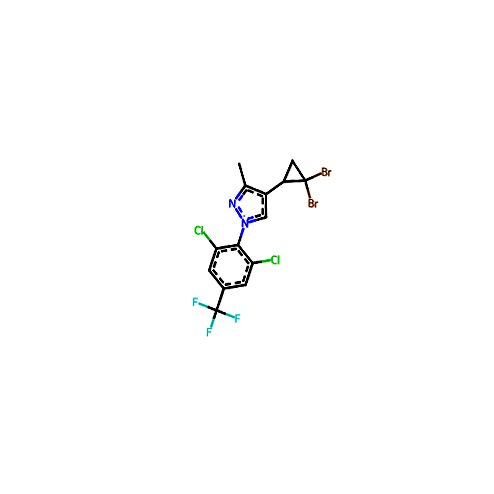 Cc1nn(-c2c(Cl)cc(C(F)(F)F)cc2Cl)cc1C1CC1(Br)Br